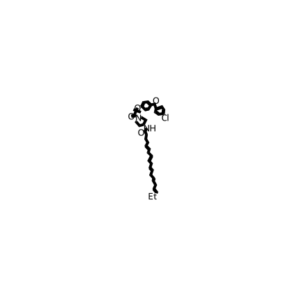 CCC=CCC=CCC=CCC=CCC=CCCCC(=O)NC1CCN(C(=O)C(C)(C)Oc2ccc(C(=O)c3ccc(Cl)cc3)cc2)CC1